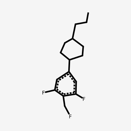 CCCC1CCC(c2cc(F)c(CF)c(F)c2)CC1